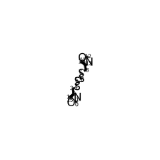 c1nc(CSSSSCc2cocn2)co1